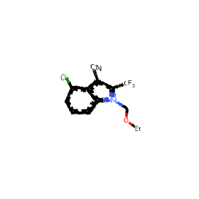 CCOCn1c(C(F)(F)F)c(C#N)c2c(Cl)cccc21